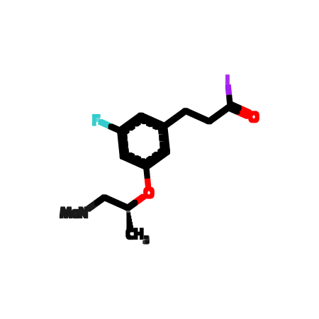 CNC[C@@H](C)Oc1cc(F)cc(CCC(=O)I)c1